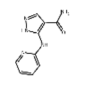 NC(=O)c1cn[nH]c1Nc1ccccn1